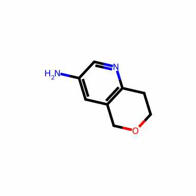 Nc1cnc2c(c1)COCC2